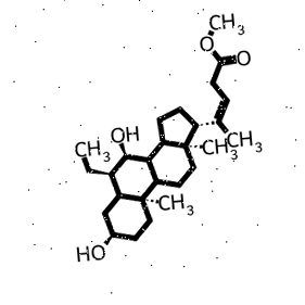 CC[C@@H]1C2C[C@H](O)CC[C@]2(C)C2CC[C@@]3(C)C(CC[C@@H]3/C(C)=C\CC(=O)OC)C2[C@@H]1O